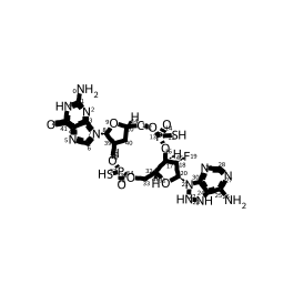 Nc1nc2c(ncn2[C@@H]2O[C@@H]3COP(=O)(S)O[C@H]4[C@H](F)[C@H](N5NNc6c(N)ncnc65)O[C@@H]4COP(=O)(S)O[C@H]2C3)c(=O)[nH]1